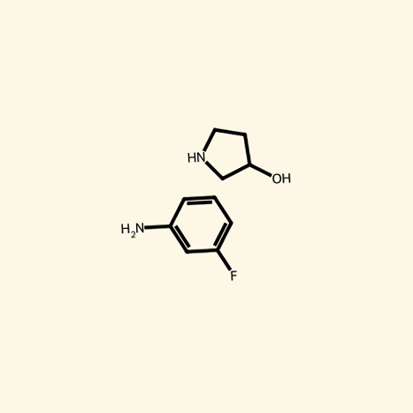 Nc1cccc(F)c1.OC1CCNC1